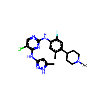 CC(=O)N1CCC(c2cc(F)c(Nc3ncc(Cl)c(Nc4cc(C)[nH]n4)n3)cc2C)CC1